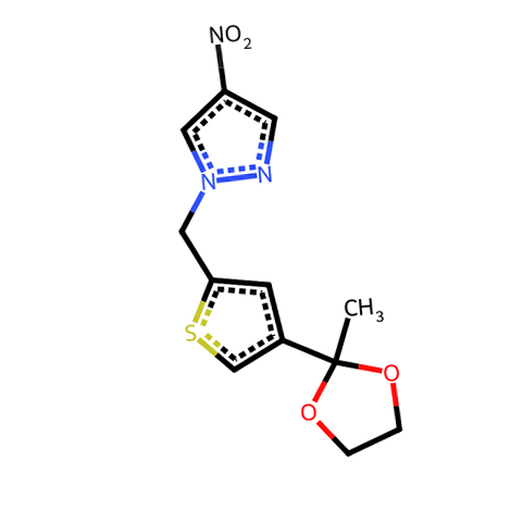 CC1(c2csc(Cn3cc([N+](=O)[O-])cn3)c2)OCCO1